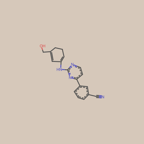 N#Cc1cccc(-c2ccnc(NC3=CCCC(CO)=C3)n2)c1